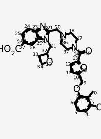 Cc1c(Cl)cccc1OCc1ccc(C(=O)N2CCN(Cc3nc4ccc(C(=O)O)cc4n3CC3CCO3)CC2)o1